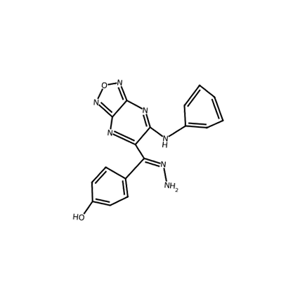 NN=C(c1ccc(O)cc1)c1nc2nonc2nc1Nc1ccccc1